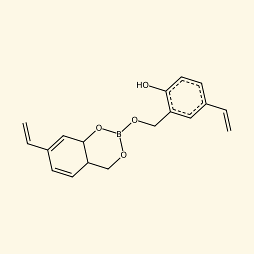 C=CC1=CC2OB(OCc3cc(C=C)ccc3O)OCC2C=C1